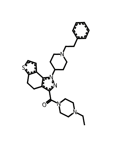 CCN1CCN(C(=O)c2nn(C3CCN(CCc4ccccc4)CC3)c3c2CCc2sccc2-3)CC1